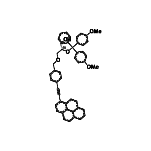 COc1ccc(C(O[C@@H](CO)COCc2ccc(C#Cc3ccc4ccc5cccc6ccc3c4c56)cc2)(c2ccccc2)c2ccc(OC)cc2)cc1